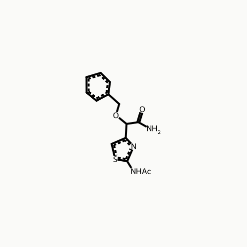 CC(=O)Nc1nc(C(OCc2ccccc2)C(N)=O)cs1